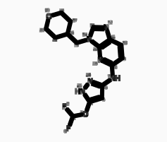 FC(F)Oc1cc(Nc2ccc3ncn(CC4CCOCC4)c3n2)n[nH]1